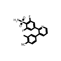 Cc1cc(-c2cccnc2-c2cc(F)c(S(N)(=O)=O)c(F)c2)ccc1C#N